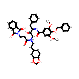 COc1cc(C(=O)NC(Cc2ccccc2)C(O)CN(CCC2CCC3OCOC3C2)C(=O)CCN2C(=O)c3ccccc3C2=O)cc(OC)c1OCc1ccccc1